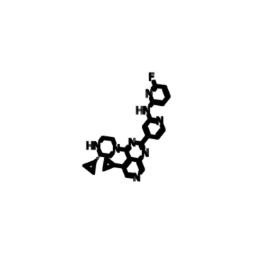 Fc1cccc(Nc2cc(-c3nc(N4CCN[C@@H](C5CC5)C4)c4c(C5CC5)cncc4n3)ccn2)n1